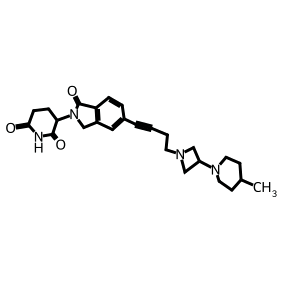 CC1CCN(C2CN(CCC#Cc3ccc4c(c3)CN(C3CCC(=O)NC3=O)C4=O)C2)CC1